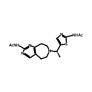 CC(=O)Nc1ncc2c(n1)CCN([C@H](C)c1cnc(NC(C)=O)s1)CC2